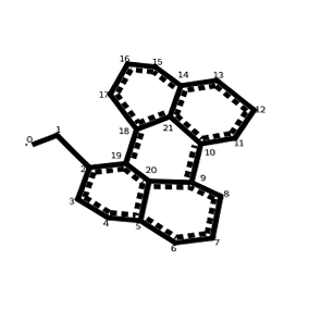 [CH2]Cc1ccc2cccc3c4cccc5cccc(c1c23)c54